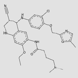 CCOc1cc2c(cc1NC(=O)CCCN(C)C)C(Nc1ccc(OCc3ncc(C)o3)c(Cl)c1)C(C#N)CN2